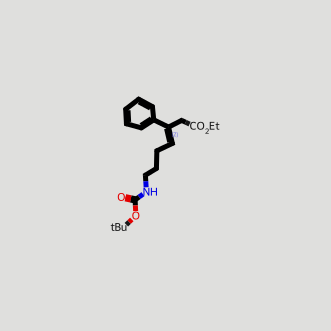 CCOC(=O)C/C(=C/CCCNC(=O)OC(C)(C)C)c1ccccc1